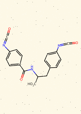 O=C=Nc1ccc(CC(NC(=O)c2ccc(N=C=O)cc2)C(=O)O)cc1